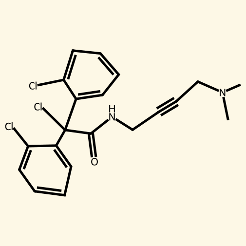 CN(C)CC#CCNC(=O)C(Cl)(c1ccccc1Cl)c1ccccc1Cl